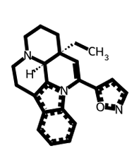 CC[C@@]12C=C(c3ccno3)n3c4c(c5ccccc53)CCN(CCC1)[C@H]42